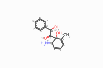 CC1=CC=CC(N)C1(O)C(=O)C(O)c1ccccc1